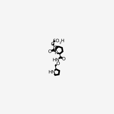 O=C(NOC[C@H]1CCCN1)[C@@H]1CCC2CN1C(=O)N2OS(=O)(=O)O